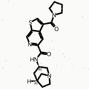 O=C(N[C@@H]1C[C@H]2CCN(C2)C1)c1cc2c(C(=O)N3CCCC3)csc2cn1